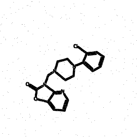 O=c1oc2cccnc2n1CN1CCN(c2ccccc2Cl)CC1